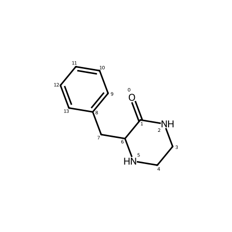 O=C1NCCNC1Cc1ccccc1